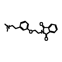 CN(C)CCc1cccc(OCCN2C(=O)c3ccccc3C2=O)c1